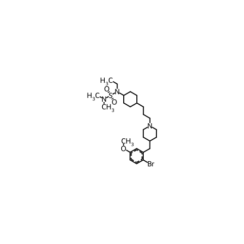 CCN(C1CCC(CCCN2CCC(Cc3cc(OC)ccc3Br)CC2)CC1)S(=O)(=O)N(C)C